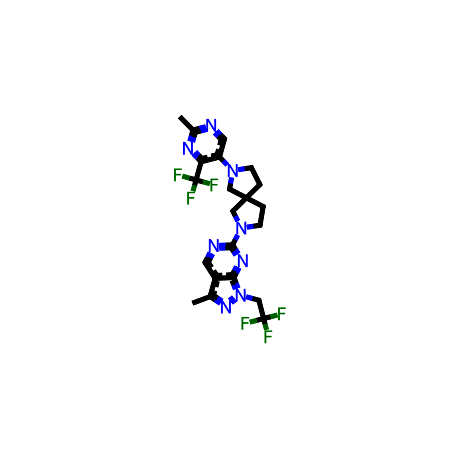 Cc1ncc(N2CCC3(CCN(c4ncc5c(C)nn(CC(F)(F)F)c5n4)C3)C2)c(C(F)(F)F)n1